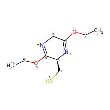 CCOC1=N[C@@H](CS)C(OCC)=NC1